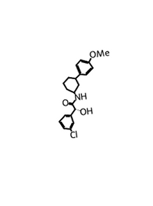 COc1ccc(C2CCCC(NC(=O)[C@H](O)c3cccc(Cl)c3)C2)cc1